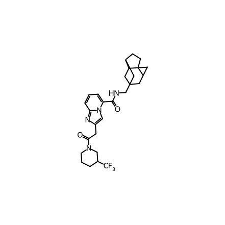 O=C(NCC12CC3CCC4(CC4C1)C3C2)c1cccc2nc(CC(=O)N3CCCC(C(F)(F)F)C3)cn12